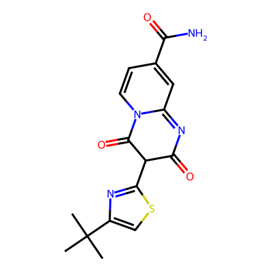 CC(C)(C)c1csc(C2C(=O)N=C3C=C(C(N)=O)C=CN3C2=O)n1